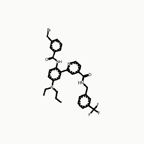 CCCN(CC)c1ccc(NC(=O)c2cccc(CBr)c2)c(-c2cc(C(=O)NCc3cccc(C(F)(F)F)c3)ccn2)c1